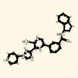 Nc1ncc(-c2cccc(C(=O)NC3CCc4ccccc43)c2)nc1-c1ncn(-c2ccncc2)n1